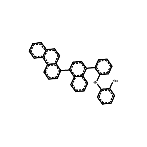 CC(C)(C)c1ccccc1Nc1ccccc1-c1ccc(-c2cccc3c2ccc2ccccc23)c2ccccc12